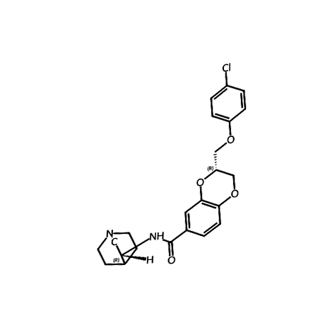 O=C(N[C@H]1CN2CCC1CC2)c1ccc2c(c1)O[C@H](COc1ccc(Cl)cc1)CO2